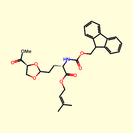 COC(=O)[C@@H]1COC(CC[C@H](NC(=O)OCC2c3ccccc3-c3ccccc32)C(=O)OCC=C(C)C)O1